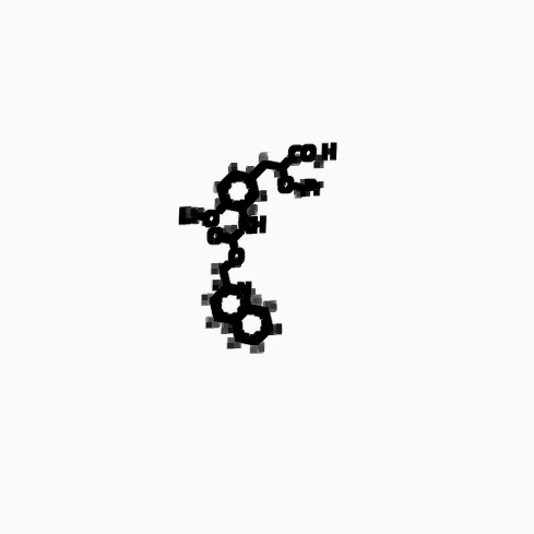 CCOc1ccc(CC(OC(C)C)C(=O)O)cc1NC(=O)OCc1ccc2ccccc2n1